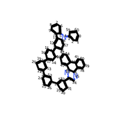 c1ccc(-n2c3ccccc3c3cc(-c4ccc(-c5cccc(-c6cccc(-c7cccc(-c8cnc9c%10ccccc%10c%10ccccc%10c9n8)c7)c6)c5)cc4)ccc32)cc1